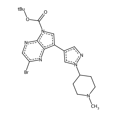 CN1CCC(n2cc(-c3cn(C(=O)OC(C)(C)C)c4ncc(Br)nc34)cn2)CC1